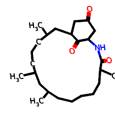 CC1CCCCCC(C)C(=O)NC2CC(=O)CC(CC(C)CCCC(C)C1)C2=O